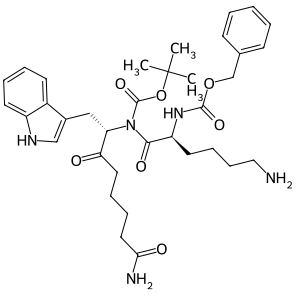 CC(C)(C)OC(=O)N(C(=O)[C@H](CCCCN)NC(=O)OCc1ccccc1)[C@@H](Cc1c[nH]c2ccccc12)C(=O)CCCCC(N)=O